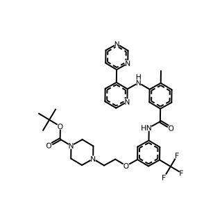 Cc1ccc(C(=O)Nc2cc(OCCN3CCN(C(=O)OC(C)(C)C)CC3)cc(C(F)(F)F)c2)cc1Nc1ncccc1-c1ccncn1